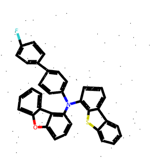 Fc1ccc(-c2ccc(N(c3cccc4c3sc3ccccc34)c3cccc4oc5ccccc5c34)cc2)cc1